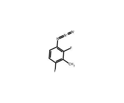 Cc1c(F)ccc(N=[N+]=[N-])c1F